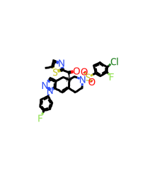 Cc1cnc(C(=O)[C@]23Cc4cnn(-c5ccc(F)cc5)c4C=C2CCN(S(=O)(=O)c2ccc(Cl)c(F)c2)C3)s1